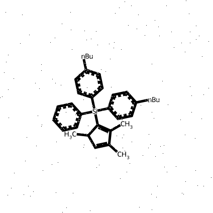 CCCCc1ccc([Si](C2=C(C)C(C)=CC2C)(c2ccccc2)c2ccc(CCCC)cc2)cc1